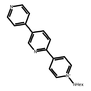 CCCCCC[n+]1ccc(-c2ccc(-c3ccncc3)cn2)cc1